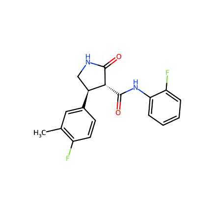 Cc1cc([C@H]2CNC(=O)[C@@H]2C(=O)Nc2ccccc2F)ccc1F